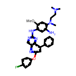 COc1cc(N(C)CCN(C)C)c(N)cc1Nc1ncc2nc(Oc3ccc(F)cc3)cc(-c3ccccc3)c2n1